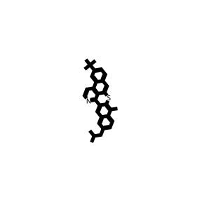 Cc1c2c(cc3cc(CC(C)C)ccc13)-c1nccc3c1c(cc1ccc(C(C)(C)C)cc13)S2